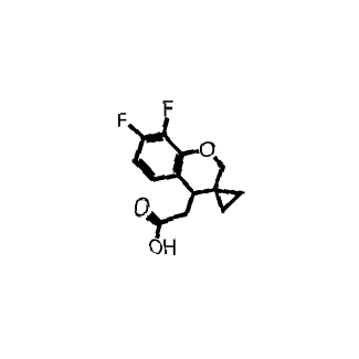 O=C(O)CC1c2ccc(F)c(F)c2OCC12CC2